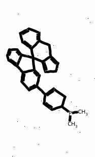 CP(C)C1C=CC(c2ccc3c(c2)C2(C4=CCC=C4Cc4ccccc42)c2ccccc2-3)=CC1